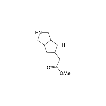 COC(=O)CC1CC2CNCC2C1.[H+]